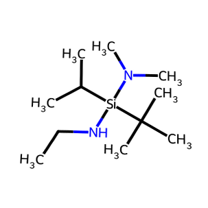 CCN[Si](C(C)C)(N(C)C)C(C)(C)C